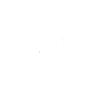 O=C1CCOc2cc(-c3ccc(C(F)(F)F)cc3)ccc21